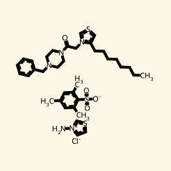 CCCCCCCCc1csc[n+]1CC(=O)N1CCN(Cc2ccccc2)CC1.Cc1cc(C)c(S(=O)(=O)[O-])c(C)c1.N[n+]1ccsc1.[Cl-]